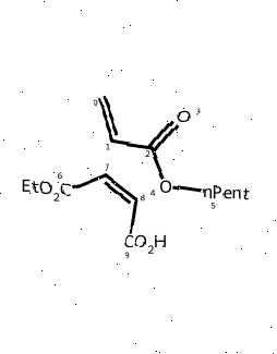 C=CC(=O)OCCCCC.CCOC(=O)/C=C\C(=O)O